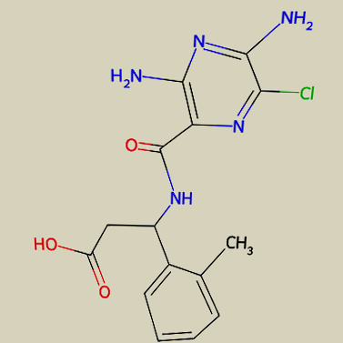 Cc1ccccc1C(CC(=O)O)NC(=O)c1nc(Cl)c(N)nc1N